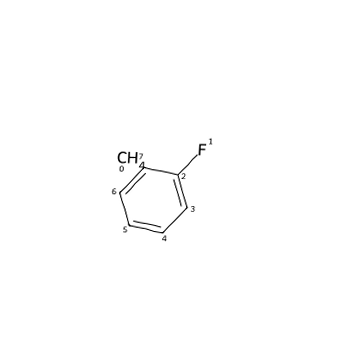 C.Fc1ccccc1